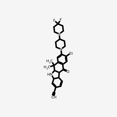 C#CC1=CC2NC3C(C(=O)c4cc(CC)c(N5CCC(N6CCC(F)(F)CC6)CC5)cc4C3(C)C)C2C=C1